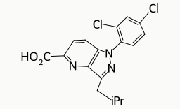 CC(C)Cc1nn(-c2ccc(Cl)cc2Cl)c2ccc(C(=O)O)nc12